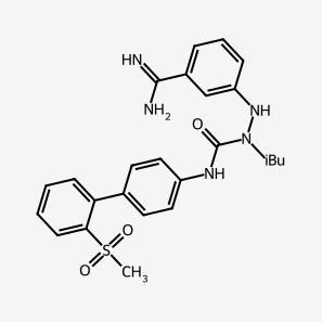 CCC(C)N(Nc1cccc(C(=N)N)c1)C(=O)Nc1ccc(-c2ccccc2S(C)(=O)=O)cc1